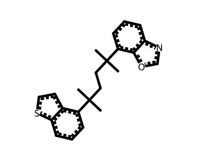 CC(C)(CCC(C)(C)c1cccc2ncoc12)c1cccc2sccc12